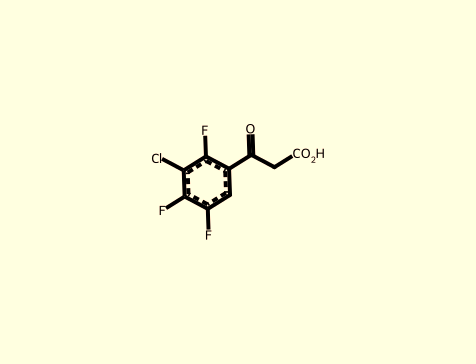 O=C(O)CC(=O)c1cc(F)c(F)c(Cl)c1F